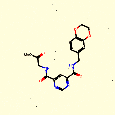 COC(=O)CNC(=O)c1cc(C(=O)NCc2ccc3c(c2)OCCO3)ncn1